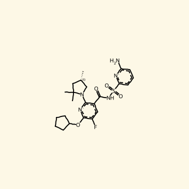 C[C@@H]1CN(c2nc(OC3CCCC3)c(F)cc2C(=O)NS(=O)(=O)c2cccc(N)n2)C(C)(C)C1